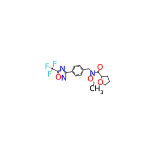 CCON(Cc1ccc(-c2noc(C(F)(F)F)n2)cc1)C(=O)C1CCCO1